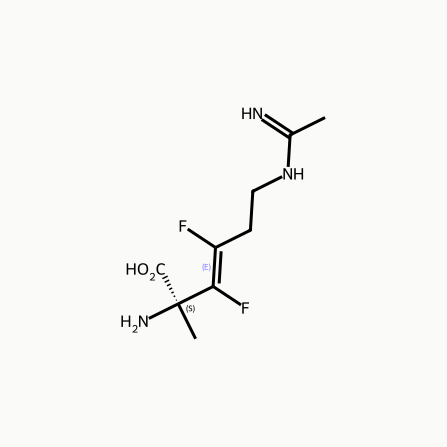 CC(=N)NCC/C(F)=C(\F)[C@@](C)(N)C(=O)O